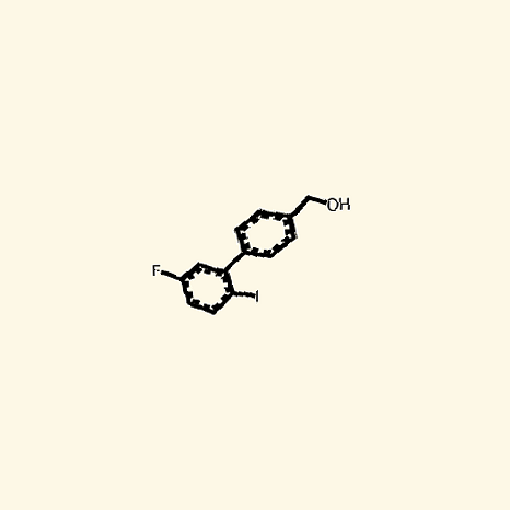 OCc1ccc(-c2cc(F)ccc2I)cc1